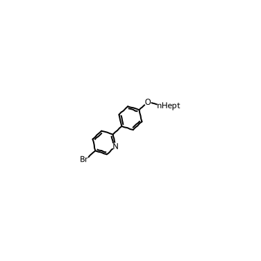 CCCCCCCOc1ccc(-c2ccc(Br)cn2)cc1